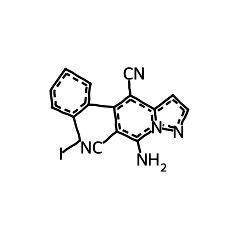 N#Cc1c(-c2ccccc2CI)c(C#N)c2ccnn2c1N